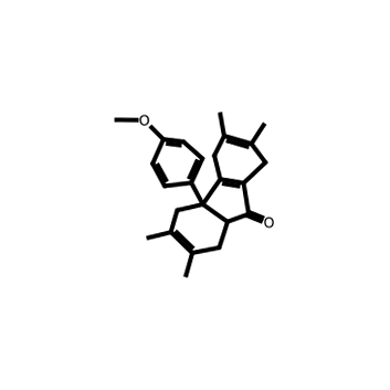 COc1ccc(C23CC(C)=C(C)CC2C(=O)C2=C3CC(C)=C(C)C2)cc1